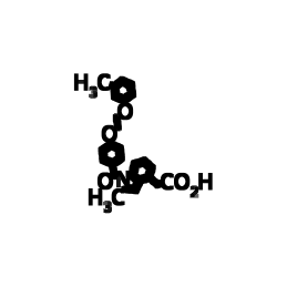 Cc1cccc(OCCOc2ccc(C(=O)n3c(C)cc4c(CC(=O)O)cccc43)cc2)c1